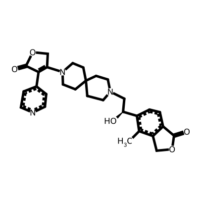 Cc1c([C@@H](O)CN2CCC3(CC2)CCN(C2=C(c4ccncc4)C(=O)OC2)CC3)ccc2c1COC2=O